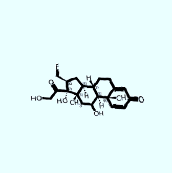 C[C@]12C=CC(=O)C=C1CC[C@@H]1[C@@H]2C(O)C[C@@]2(C)[C@H]1C[C@H](CF)[C@]2(O)C(=O)CO